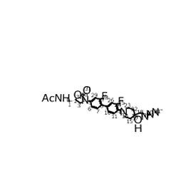 CC(=O)NC[C@H]1CN(c2ccc(-c3ccc(N4CCC(O)(CN=[N+]=[N-])CC4)c(F)c3)c(F)c2)C(=O)O1